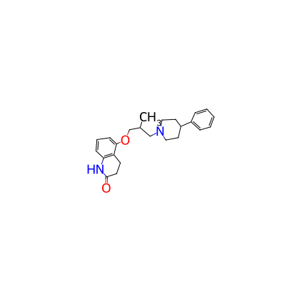 CC(COc1cccc2c1CCC(=O)N2)CN1CCC(c2ccccc2)CC1